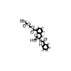 CC(C)(C)C(=O)OCOC(=O)c1cccc2c1OB(O)[C@@H](NC(=O)c1ccccc1)C2